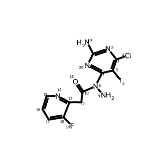 Nc1nc(Cl)c(I)c(N(N)C(=O)Cc2ncccc2F)n1